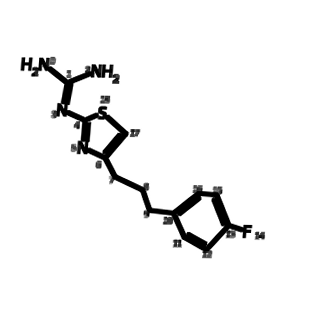 NC(N)=Nc1nc(CCCc2ccc(F)cc2)cs1